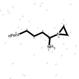 CCCCCCCCC(N)N1CC1